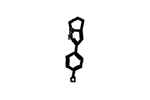 Clc1ccc(-c2cc3n(n2)CCC3)cc1